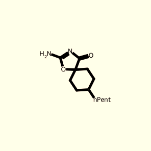 CCCCCC1CCC2(CC1)OC(N)=NC2=O